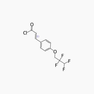 O=C(Cl)/C=C/c1ccc(OCC(F)(F)C(F)F)cc1